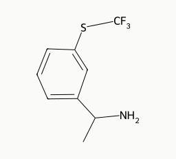 CC(N)c1cccc(SC(F)(F)F)c1